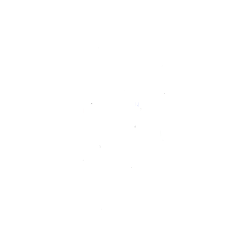 CC1CCCN(CC(O)c2ccccc2)C1.Cl